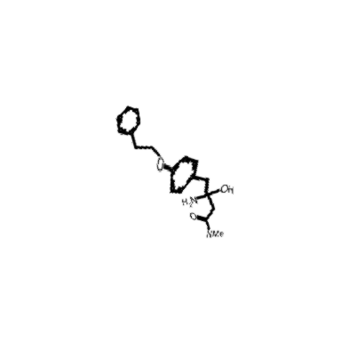 CNC(=O)CC(N)(O)Cc1ccc(OCCc2ccccc2)cc1